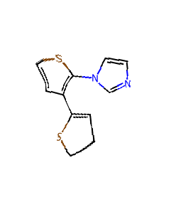 C1=C(c2ccsc2-n2ccnc2)SCC1